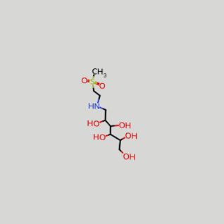 CS(=O)(=O)CCNCC(O)C(O)C(O)C(O)CO